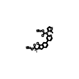 C[C@H](C(=O)OC(C)(C)C)N1Cc2ccc(-c3ccnc(N(C(=O)OC(C)(C)C)c4ccnn4C)c3)cc2C1=O